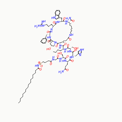 CCCCCCCCCCCCCCCC(=O)NS(=O)(=O)CCCC(=O)NCC(=O)N[C@@H](CO)C(=O)N[C@H](CCC(N)=O)C(=O)N[C@@H](Cc1c[nH]cn1)C(=O)N[C@@H](CO)C(=O)N[C@@H](CCCC)C(=O)N[C@H]1CCC(=O)NCCCC[C@@H](C(N)=O)NC(=O)[C@H](Cc2c[nH]c3ccccc23)NC(=O)[C@H](CCCNC(=N)N)NC(=O)[C@@H](Cc2ccccc2)NC(=O)[C@@H]2C[C@@H](O)CN2C1=O